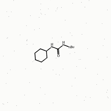 [CH2]CCCNC(=O)NC1CCCCC1